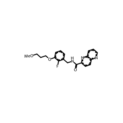 COCCCOc1cccc(CNC(=O)c2ccc3ncccc3n2)c1F